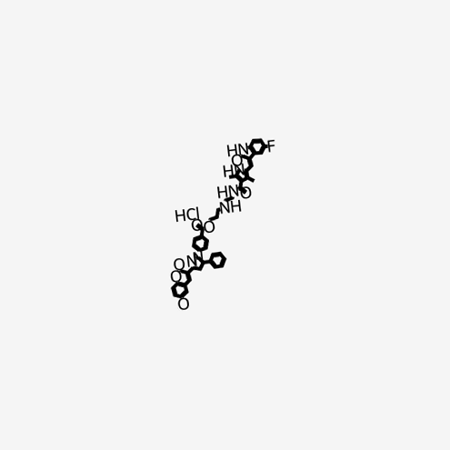 COc1ccc2oc(=O)c(C3=NN(c4ccc(C(=O)OCCCNCCNC(=O)c5c(C)[nH]c(C=C6C(=O)Nc7ccc(F)cc76)c5C)cc4)C(c4ccccc4)C3)cc2c1.Cl